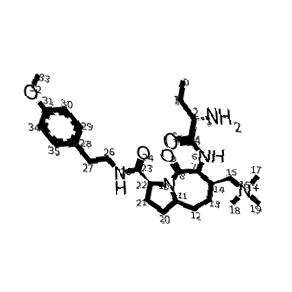 CC[C@H](N)C(=O)NC1C(=O)N2C(CC[C@@H]1C[N+](C)(C)C)CC[C@H]2C(=O)NCCc1ccc(OC)cc1